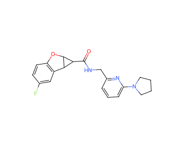 O=C(NCc1cccc(N2CCCC2)n1)C1C2Oc3ccc(F)cc3C21